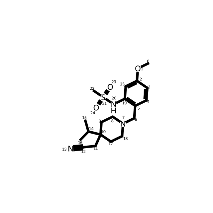 COc1ccc(CN2CCC(CC#N)(C(C)C)CC2)c(NS(C)(=O)=O)c1